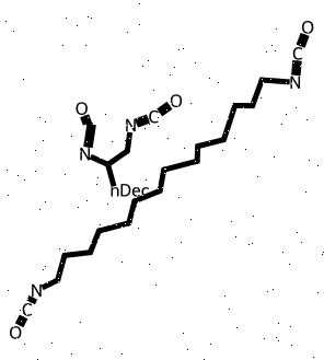 CCCCCCCCCCC(CN=C=O)N=C=O.O=C=NCCCCCCCCCCCCCCN=C=O